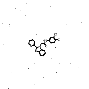 O=C(Cn1c(-c2ccccn2)nc2ccccc21)Nc1ccc(Cl)c(Cl)c1